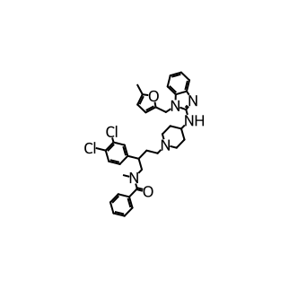 Cc1ccc(Cn2c(NC3CCN(CCC(CN(C)C(=O)c4ccccc4)c4ccc(Cl)c(Cl)c4)CC3)nc3ccccc32)o1